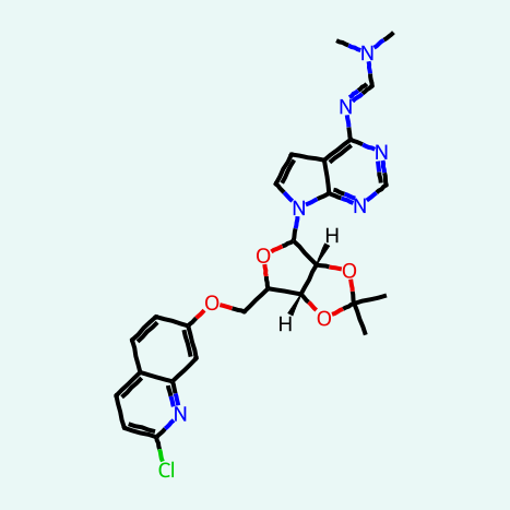 CN(C)/C=N/c1ncnc2c1ccn2C1OC(COc2ccc3ccc(Cl)nc3c2)[C@H]2OC(C)(C)O[C@@H]12